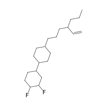 C=CC(CCC)CCCC1CCC(C2CCC(F)C(F)C2)CC1